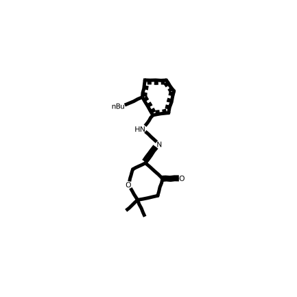 CCCCc1ccccc1N/N=C1\COC(C)(C)CC1=O